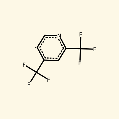 FC(F)(F)c1[c]cnc(C(F)(F)F)c1